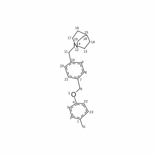 Cc1ccc(OCc2ccc(C[N+]34CCC(CC3)CC4)cc2)cc1